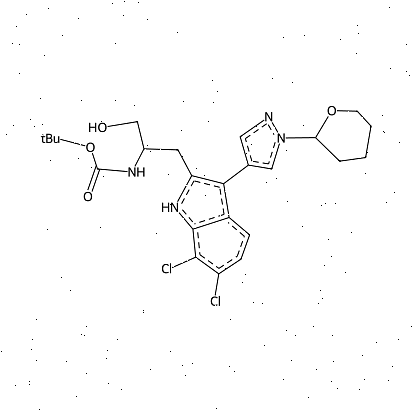 CC(C)(C)OC(=O)NC(CO)Cc1[nH]c2c(Cl)c(Cl)ccc2c1-c1cnn(C2CCCCO2)c1